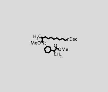 C=C(C(=O)OC)C1CCCCC1.C=C(CCCCCCCCCCCCCCCCCC)C(=O)OC